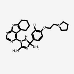 NC1=NC(N)(c2ccc(OCCN3CCCC3)c(Cl)c2)NN1c1ncnc2sc3c(c12)CCCC3